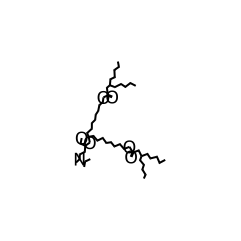 CCCCCC(CCCCC)CC(=O)OCCCCCCCCC1(CCCCCCCCOC(=O)CC(CCCCC)CCCCC)OCC(CCN(C)C(C)C)O1